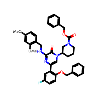 COc1ccc(CNc2nc(-c3cc(F)ccc3OCc3ccccc3)cn(C3CCCN(C(=O)OCc4ccccc4)C3)c2=O)c(OC)c1